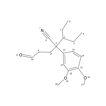 CCC(CC)C(C#N)(CCC=O)c1ccc(OC)c(OC)c1